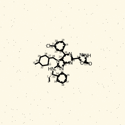 CC[C@H](Nc1nc2nc(-c3n[nH]c(=O)o3)nc(-c3cccc(Cl)c3)c2n1CC1CCC(C)CC1)c1ccccc1